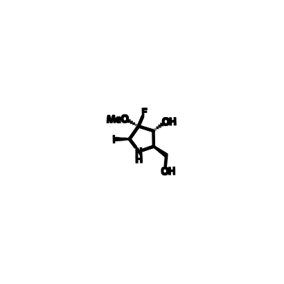 CO[C@@]1(F)[C@H](I)N[C@H](CO)[C@H]1O